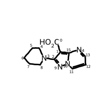 O=C(O)c1c(N2CCCCC2)nn2cccnc12